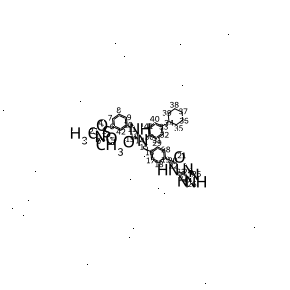 CN(C)S(=O)(=O)c1cccc(NC(=O)N(Cc2ccc(C(=O)Nc3nn[nH]n3)cc2)c2ccc(C3CCCCC3)cc2)c1